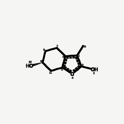 Cc1c(O)oc2c1CC[C@@H](O)C2